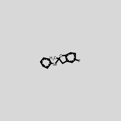 CC1([Se]c2ccccc2)Cc2cc(F)ccc2O1